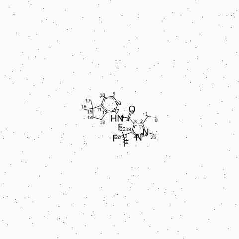 CCc1c(C(=O)Nc2cccc3c2CCC3(C)C)c(C(F)(F)F)nn1C